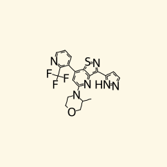 CC1COCCN1c1cc(-c2cccnc2C(F)(F)F)c2snc(-c3ccn[nH]3)c2n1